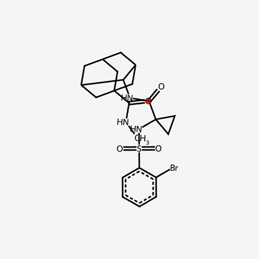 CNC(=O)C12CC3CC(C1)C(NC(=O)C1(NS(=O)(=O)c4ccccc4Br)CC1)C(C3)C2